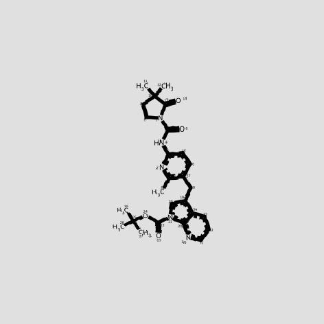 Cc1nc(NC(=O)N2CCC(C)(C)C2=O)ccc1Cc1cn(C(=O)OC(C)(C)C)c2ncccc12